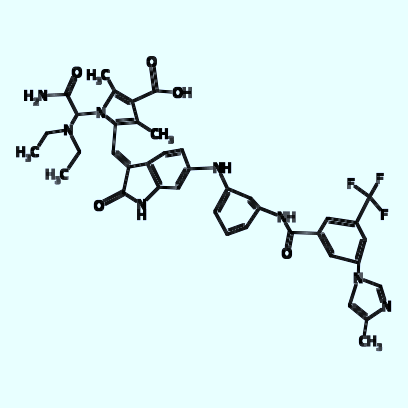 CCN(CC)C(C(N)=O)n1c(C)c(C(=O)O)c(C)c1C=C1C(=O)Nc2cc(Nc3cccc(NC(=O)c4cc(-n5cnc(C)c5)cc(C(F)(F)F)c4)c3)ccc21